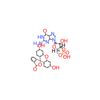 Nc1nc2c(ncn2[C@@H]2O[C@@H]3COP(=O)(O)O[C@H]3[C@H]2O)c(=O)[nH]1.O=C1OC2(c3ccc(O)cc3Oc3cc(O)ccc32)c2ccccc21